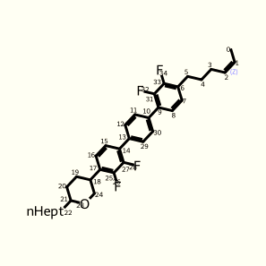 C/C=C\CCCc1ccc(-c2ccc(-c3ccc(C4CCC(CCCCCCC)OC4)c(F)c3F)cc2)c(F)c1F